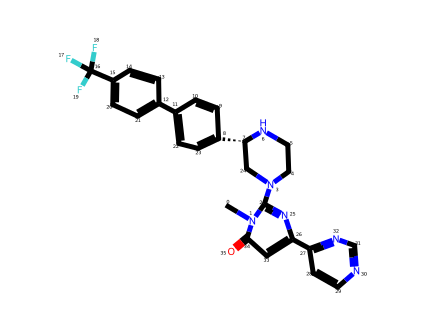 Cn1c(N2CCN[C@@H](c3ccc(-c4ccc(C(F)(F)F)cc4)cc3)C2)nc(-c2ccncn2)cc1=O